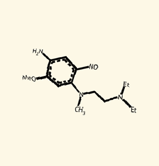 CCN(CC)CCN(C)c1cc(OC)c(N)cc1N=O